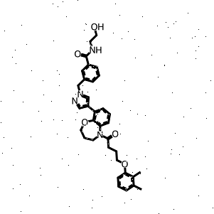 Cc1cccc(OCCCC(=O)N2CCCOc3c(-c4cnn(Cc5cccc(C(=O)NCCO)c5)c4)cccc32)c1C